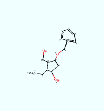 O=C(O)CC1C(O)CC(OCc2ccccc2)C1CO